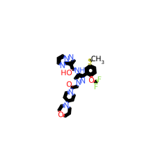 CSc1ccc(OC(F)F)c(-c2nn(CC(=O)N3CCC(N4CCCOCC4)CC3)cc2NC(O)c2cnn3cccnc23)c1